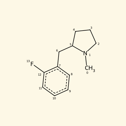 CN1CCCC1Cc1ccccc1F